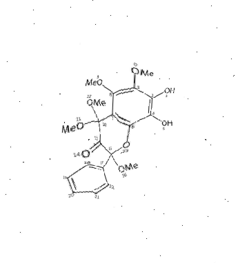 COc1c(O)c(O)c2c(c1OC)C(OC)(OC)C(=O)C(OC)(c1ccccc1)O2